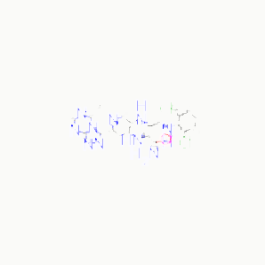 Cc1nc(C)n2c(-c3ccc(N/C(=C/Nc4c(Cl)cccc4Cl)C(=N)C(N)=O)cn3)nnc2n1